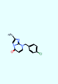 CCCc1cn2c(=O)ccn(Cc3ccc(Cl)cc3)c2n1